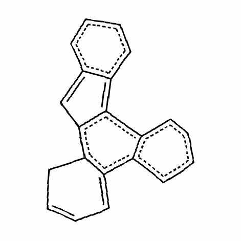 C1=CCc2c3c(c4ccccc4c2=C1)=c1ccccc1=C3